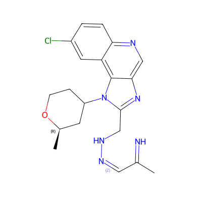 CC(=N)/C=N\NCc1nc2cnc3ccc(Cl)cc3c2n1C1CCO[C@H](C)C1